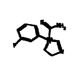 NC(=S)[N+]1(c2cccc(F)c2)C=NCC1